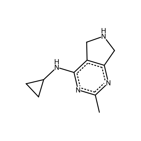 Cc1nc2c(c(NC3CC3)n1)CNC2